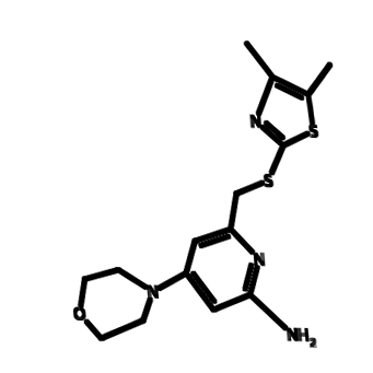 Cc1nc(SCc2cc(N3CCOCC3)cc(N)n2)sc1C